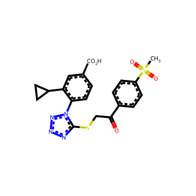 CS(=O)(=O)c1ccc(C(=O)CSc2nnnn2-c2ccc(C(=O)O)cc2C2CC2)cc1